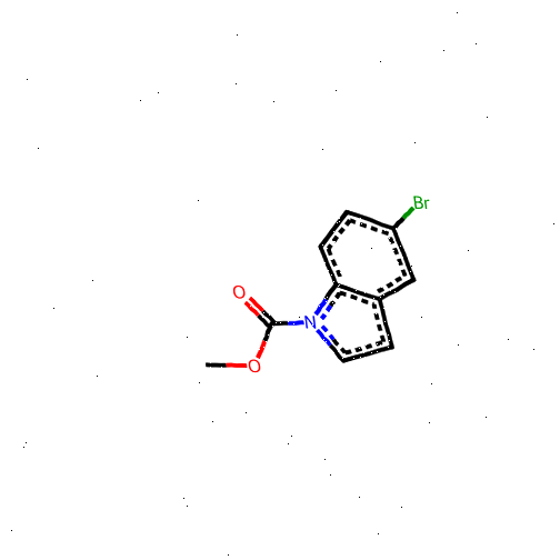 COC(=O)n1ccc2cc(Br)ccc21